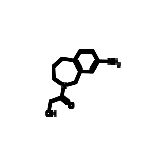 Nc1ccc2c(c1)CN(C(=O)CO)CCC2